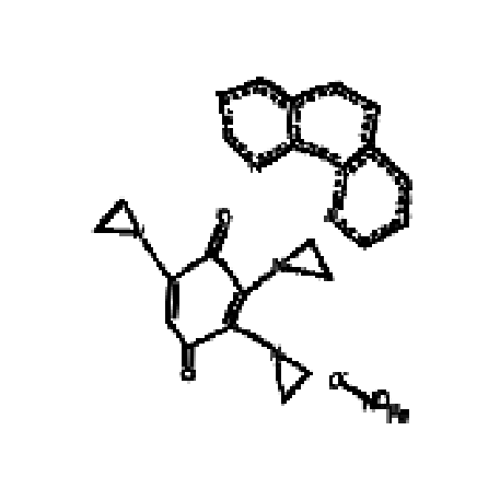 O=C1C=C(N2CC2)C(=O)C(N2CC2)=C1N1CC1.O=[N+]([O-])[O-].[Fe].c1cnc2c(c1)ccc1cccnc12